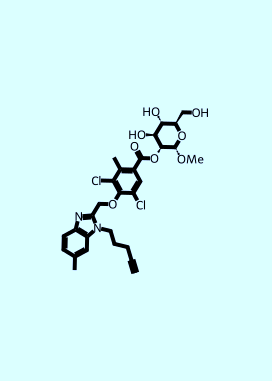 C#CCCCn1c(COc2c(Cl)cc(C(=O)O[C@H]3[C@@H](OC)O[C@H](CO)[C@@H](O)[C@@H]3O)c(C)c2Cl)nc2ccc(C)cc21